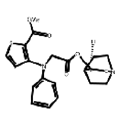 COC(=O)c1sccc1N(CC(=O)O[C@H]1CN2CCC1CC2)c1ccccc1